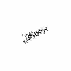 Cc1cn2cc(NC(=O)c3cnc(N4CC(CNC5CC5)C4)cn3)c(F)c(C)c2n1